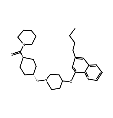 CCCCc1cc(OC2CCN(C[C@H]3CC[C@H](C(=O)N4CCCCC4)CC3)CC2)c2ncccc2c1